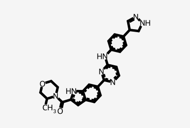 CC1COCCN1C(=O)c1cc2ccc(-c3nccc(Nc4ccc(C5C=NNC5)cc4)n3)cc2[nH]1